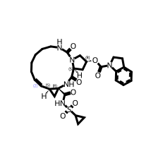 O=C1N[C@]2(C(=O)NS(=O)(=O)C3CC3)C[C@H]2/C=C\CCCCCNC(=O)N2C[C@H](OC(=O)N3CCc4ccccc43)C[C@@H]12